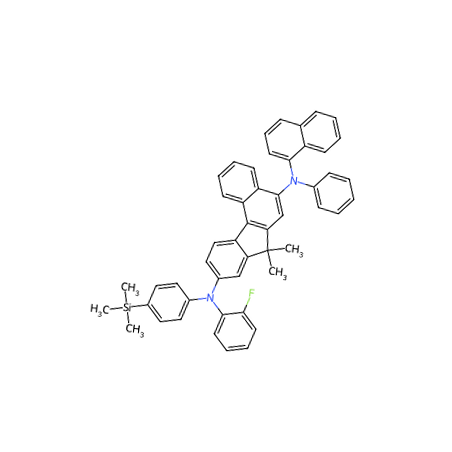 CC1(C)c2cc(N(c3ccc([Si](C)(C)C)cc3)c3ccccc3F)ccc2-c2c1cc(N(c1ccccc1)c1cccc3ccccc13)c1ccccc21